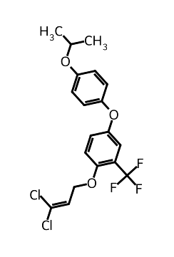 CC(C)Oc1ccc(Oc2ccc(OCC=C(Cl)Cl)c(C(F)(F)F)c2)cc1